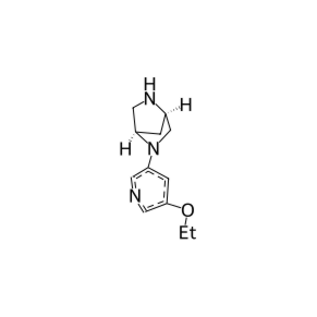 CCOc1cncc(N2C[C@H]3C[C@@H]2CN3)c1